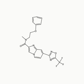 CN(CCOc1ccccc1)C(=O)c1cn2ccc(-c3noc(C(F)(F)F)n3)cc2n1